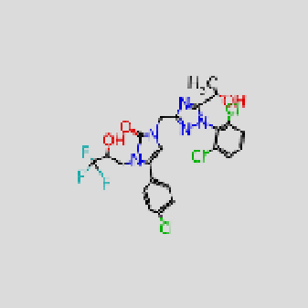 CC(O)c1nc(Cn2cc(-c3ccc(Cl)cc3)n(CC(O)C(F)(F)F)c2=O)nn1-c1c(Cl)cccc1Cl